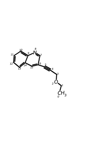 CCOCC#Cc1cnc2ccccc2c1